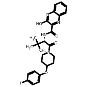 CC(C)(C)[C@H](NC(=O)c1nc2ccccc2nc1O)C(=O)N1CCC(Oc2ccc(F)cc2)CC1